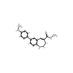 COC(=O)C1=Cc2cc(-c3ccc(OC)cc3)ccc2SCC1